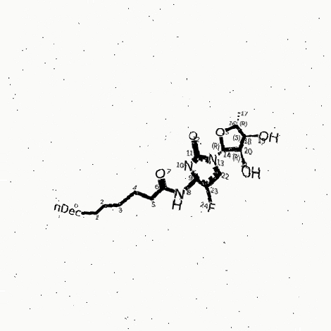 CCCCCCCCCCCCCCCC(=O)Nc1nc(=O)n([C@@H]2O[C@H](C)[C@@H](O)[C@H]2O)cc1F